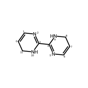 C1=CN=C(C2=NC=CCN2)NC1